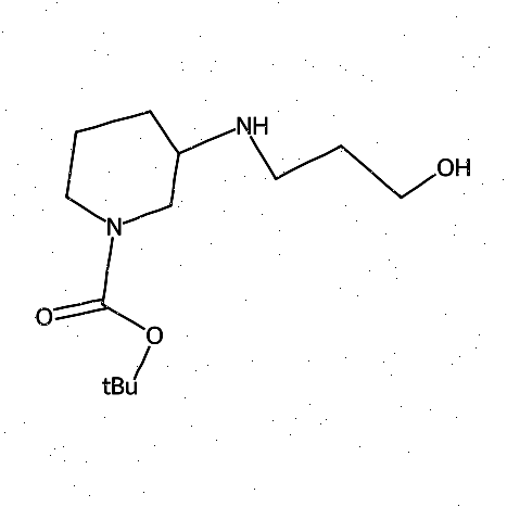 CC(C)(C)OC(=O)N1CCCC(NCCCO)C1